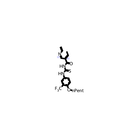 C=C/N=C\C(=C/C)C(=O)NC(=S)Nc1ccc(OCCCCC)c(C(F)(F)F)c1